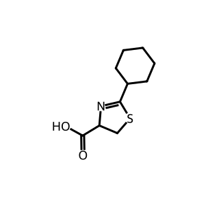 O=C(O)C1CSC(C2CCCCC2)=N1